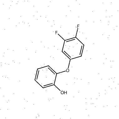 Oc1ccccc1Oc1ccc(F)c(F)c1